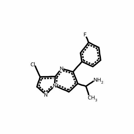 CC(N)c1cn2ncc(Cl)c2nc1-c1cccc(F)c1